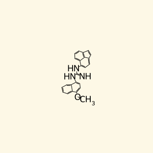 COc1ccc(NC(=N)Nc2ccc3c4c(cccc24)C=C3)c2ccccc12